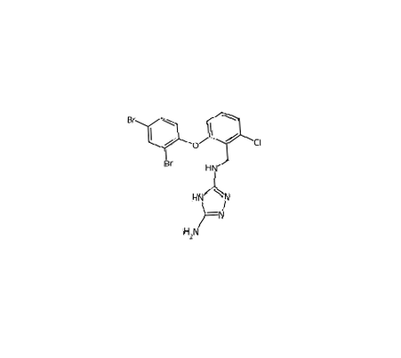 Nc1nnc(NCc2c(Cl)cccc2Oc2ccc(Br)cc2Br)[nH]1